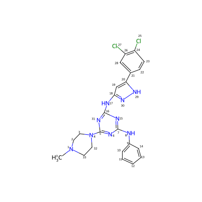 CN1CCN(c2nc(Nc3ccccc3)nc(Nc3cc(-c4ccc(Cl)c(Cl)c4)[nH]n3)n2)CC1